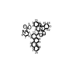 COC(=O)c1ccccn1.O=C(C1CCCc2c1ccc1c2ccc2ccccc21)C(Cc1ccccc1)N1C(=O)c2ccccc2C1=O